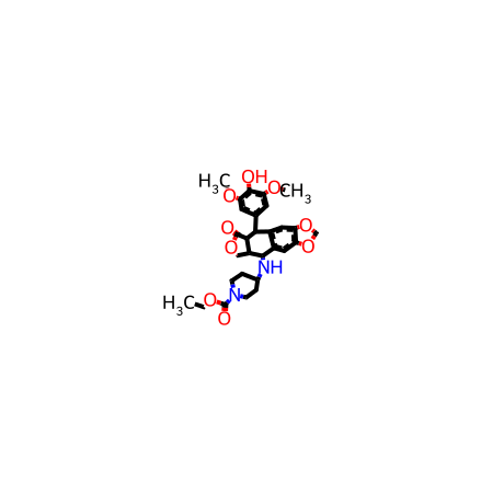 CCOC(=O)N1CCC(NC2c3cc4c(cc3C(c3cc(OC)c(O)c(OC)c3)C3C(=O)OCC23)OCO4)CC1